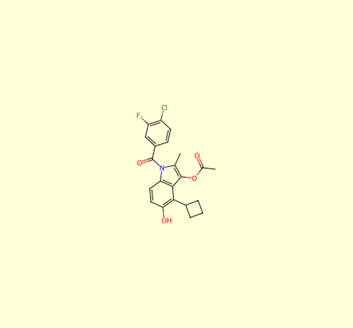 CC(=O)Oc1c(C)n(C(=O)c2ccc(Cl)c(F)c2)c2ccc(O)c(C3CCC3)c12